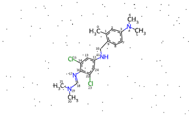 Cc1cc(N(C)C)ccc1CNc1cc(Cl)c(N=CN(C)C)c(Cl)c1